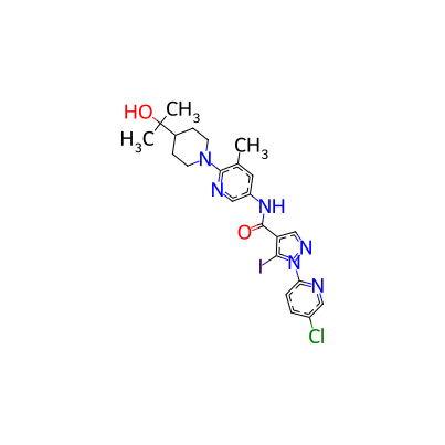 Cc1cc(NC(=O)c2cnn(-c3ccc(Cl)cn3)c2I)cnc1N1CCC(C(C)(C)O)CC1